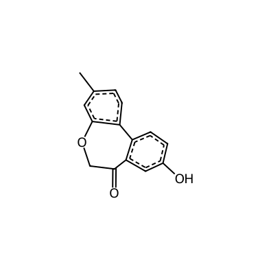 Cc1ccc2c(c1)OCC(=O)c1cc(O)ccc1-2